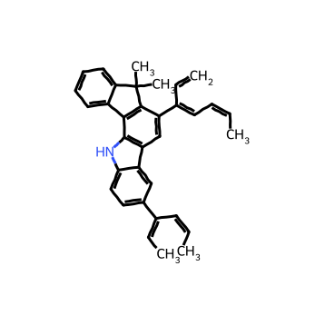 C=C/C(=C\C=C/C)c1cc2c([nH]c3ccc(C(/C=C\C)=C/C)cc32)c2c1C(C)(C)c1ccccc1-2